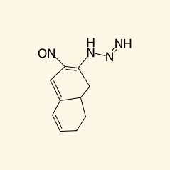 N=NNC1=C(N=O)C=C2C=CCCC2C1